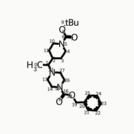 CC(C1CCN(C(=O)OC(C)(C)C)CC1)N1CCN(C(=O)OCc2ccccc2)CC1